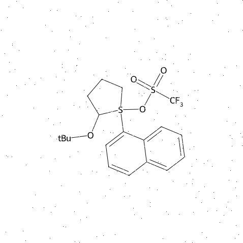 CC(C)(C)OC1CCCS1(OS(=O)(=O)C(F)(F)F)c1cccc2ccccc12